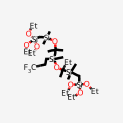 CCO[Si](C[Si](C)(C)OC(C)(C)[Si](C)(CCC(F)(F)F)OC(C)(CC)[Si](C)(C)C[Si](OCC)(OCC)OCC)(OCC)OCC